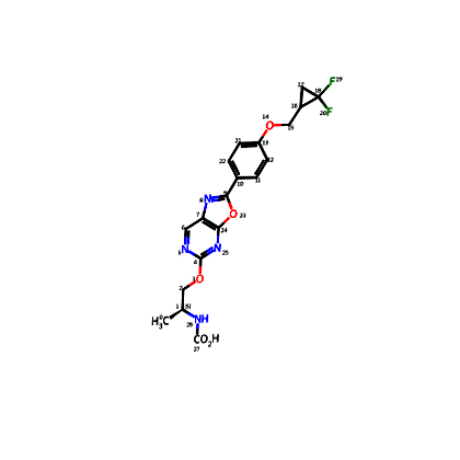 C[C@@H](COc1ncc2nc(-c3ccc(OCC4CC4(F)F)cc3)oc2n1)NC(=O)O